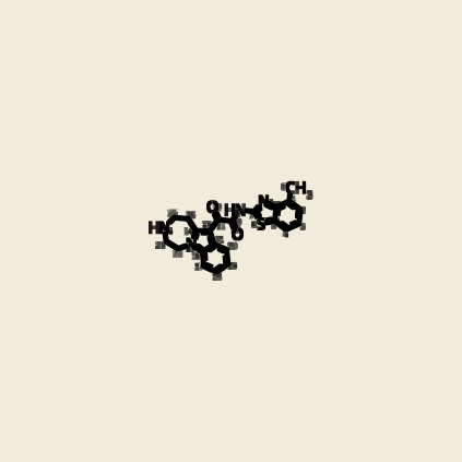 Cc1cccc2sc(NC(=O)C(=O)c3c4n(c5ccccc35)CCNCC4)nc12